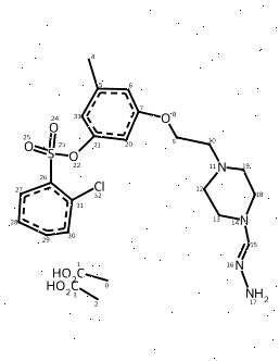 CC(=O)O.CC(=O)O.Cc1cc(OCCN2CCN(C=NN)CC2)cc(OS(=O)(=O)c2ccccc2Cl)c1